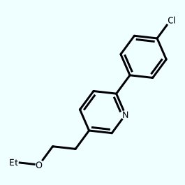 CCOCCc1ccc(-c2ccc(Cl)cc2)nc1